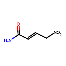 NC(=O)C=CC[N+](=O)[O-]